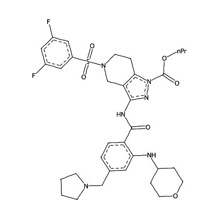 CCCOC(=O)n1nc(NC(=O)c2ccc(CN3CCCC3)cc2NC2CCOCC2)c2c1CCN(S(=O)(=O)c1cc(F)cc(F)c1)C2